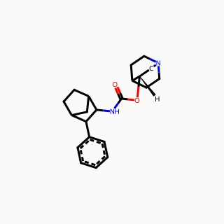 O=C(NC1C2CCC(C2)C1c1ccccc1)O[C@H]1CN2CCC1CC2